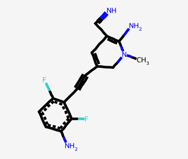 CN1CC(C#Cc2c(F)ccc(N)c2F)=CC(C=N)=C1N